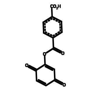 O=C1C=CC(=O)C(OC(=O)c2ccc(C(=O)O)cc2)=C1